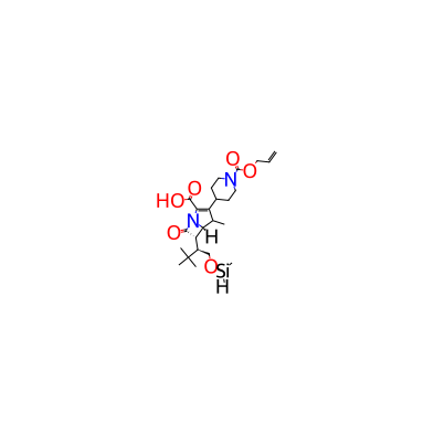 C=CCOC(=O)N1CCC(C2=C(C(=O)O)N3C(=O)[C@@H]([C@@H](CO[SiH](C)C)C(C)(C)C)[C@H]3C2C)CC1